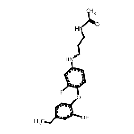 CCc1ccc(Oc2ccc(NCCCNC(C)=O)cc2F)c(O)c1